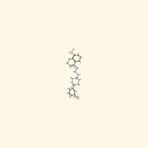 COc1cccc2c1CCC=C2CCCN1CCN(c2cccc(Cl)c2)CC1